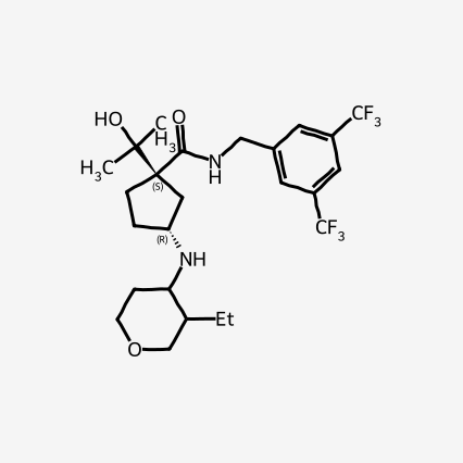 CCC1COCCC1N[C@@H]1CC[C@@](C(=O)NCc2cc(C(F)(F)F)cc(C(F)(F)F)c2)(C(C)(C)O)C1